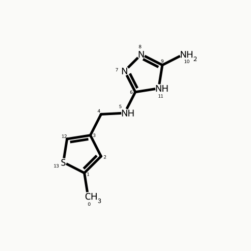 Cc1cc(CNc2nnc(N)[nH]2)cs1